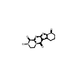 CCN1CCn2c(nc3sc4c(c3c2=O)CCCC4=O)C1=O